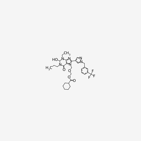 CCCN1C(=O)c2c(nc(-c3cnn(Cc4cccc(C(F)(F)F)c4)c3)n2COCOC(=O)C2CCCCC2)N(CC)C1O